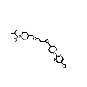 CC(C)[S+]([O-])N1CCC(COCCC2CC2C2CCN(c3ncc(Cl)cn3)CC2)CC1